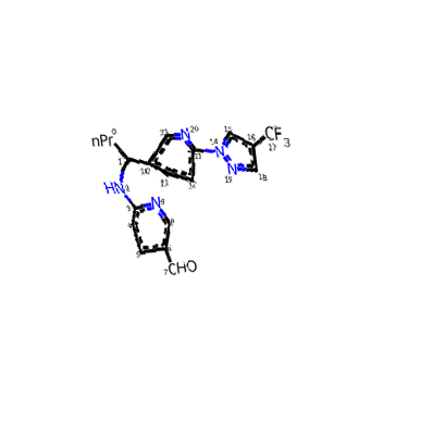 CCCC(Nc1ccc(C=O)cn1)c1ccc(-n2cc(C(F)(F)F)cn2)nc1